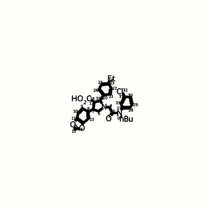 CCCCN(C(=O)CN1CC(c2ccc3c(c2)OCO3)C(C(=O)O)C1c1ccc(CC)cc1)c1cccc(Cl)c1